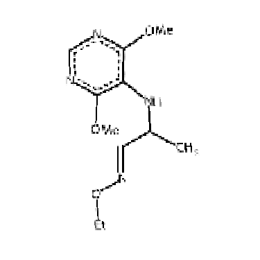 CCON=CC(C)Nc1c(OC)ncnc1OC